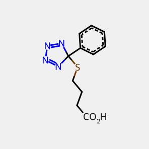 O=C(O)CCCSC1(c2ccccc2)N=NN=N1